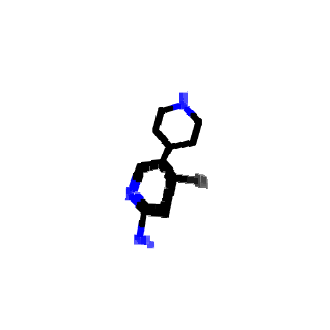 CCc1cc(N)ncc1C1CCNCC1